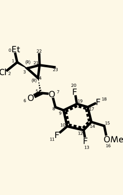 CCC(Cl)[C@@H]1[C@@H](C(=O)OCc2c(F)c(F)c(COC)c(F)c2F)C1(C)C